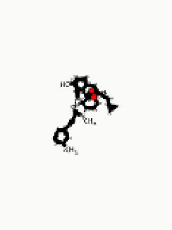 Cc1cccc(C#CC(=O)N(C)[C@H]2CC[C@H]3[C@H]4Cc5ccc(O)c6c5[C@@]3(CCN4CC3CC3)[C@H]2O6)c1